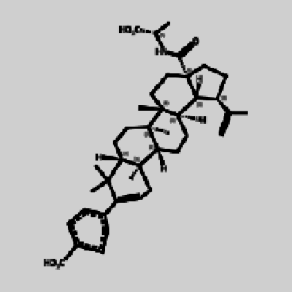 C=C(C)[C@@H]1CC[C@]2(C(=O)N[C@@H](C)C(=O)O)CC[C@]3(C)[C@H](CC[C@@H]4[C@@]5(C)CC=C(c6ccc(C(=O)O)cc6)C(C)(C)[C@@H]5CC[C@]43C)[C@@H]12